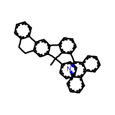 CC1(c2ccccc2)c2cc3c(cc2-c2cccc(-c4nc5ccccc5c5ccccc45)c21)-c1ccccc1CC3